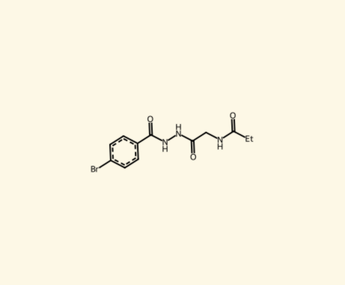 CCC(=O)NCC(=O)NNC(=O)c1ccc(Br)cc1